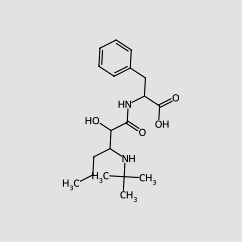 CCCC(NC(C)(C)C)C(O)C(=O)NC(Cc1ccccc1)C(=O)O